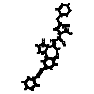 CN1NC(CC2=CCCC=C2)=NC1C(=O)NC1COc2ccc(C#Cc3ccccn3)cc2N2C=CNC12